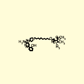 COC(=O)C(c1cc(OCCCCCCCCCCN2CCC(n3nc(N)c4nnc(-c5ccccc5O)cc43)CC2)no1)C(C)C